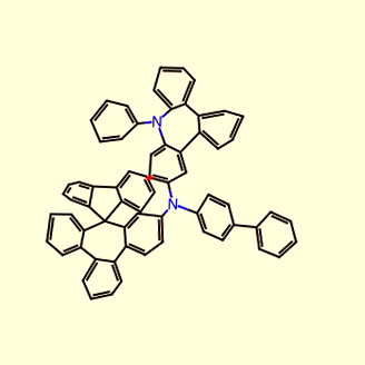 c1ccc(-c2ccc(N(c3ccc4c(c3)-c3ccccc3-c3ccccc3N4c3ccccc3)c3ccc4c(c3)C3(c5ccccc5-c5ccccc5-4)c4ccccc4-c4ccccc43)cc2)cc1